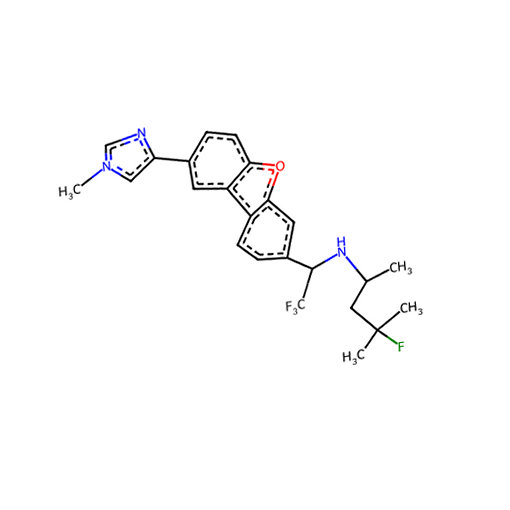 CC(CC(C)(C)F)NC(c1ccc2c(c1)oc1ccc(-c3cn(C)cn3)cc12)C(F)(F)F